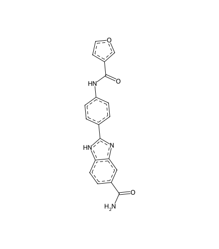 NC(=O)c1ccc2[nH]c(-c3ccc(NC(=O)c4ccoc4)cc3)nc2c1